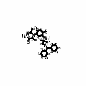 CC1C(=O)NN=C2COc3cc(F)c(NC4(C)CN(C(c5ccccc5)c5ccccc5)C4)cc3N21